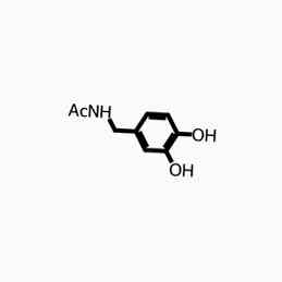 CC(=O)NCc1ccc(O)c(O)c1